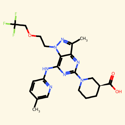 Cc1ccc(Nc2nc(N3CCC[C@H](C(=O)O)C3)nc3c(C)nn(CCOCC(F)(F)F)c23)nc1